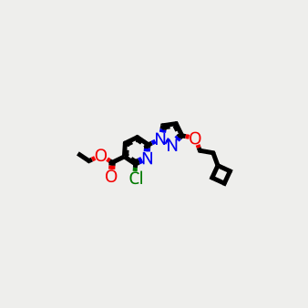 CCOC(=O)c1ccc(-n2ccc(OCCC3CCC3)n2)nc1Cl